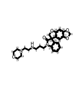 O=C1N(CCCNCCN2CCOCC2)c2ccccc2C12COc1cc3c(cc12)OCO3